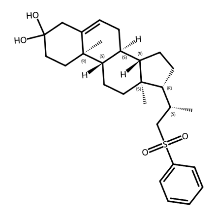 C[C@H](CS(=O)(=O)c1ccccc1)[C@H]1CC[C@H]2[C@@H]3CC=C4CC(O)(O)CC[C@]4(C)[C@H]3CC[C@]12C